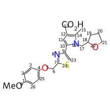 COc1ccc(OCc2nc(-c3cc(C(=O)O)c(C)n3CC3CCCO3)cs2)cc1